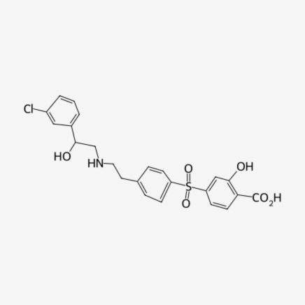 O=C(O)c1ccc(S(=O)(=O)c2ccc(CCNCC(O)c3cccc(Cl)c3)cc2)cc1O